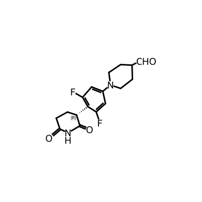 O=CC1CCN(c2cc(F)c([C@H]3CCC(=O)NC3=O)c(F)c2)CC1